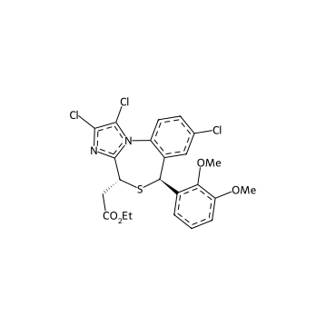 CCOC(=O)C[C@H]1S[C@H](c2cccc(OC)c2OC)c2cc(Cl)ccc2-n2c1nc(Cl)c2Cl